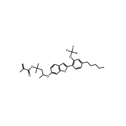 C=C(C)C(=O)OC(C)(C)CC(C)Oc1ccc2cc(-c3ccc(CCCCC)cc3OC(F)(F)F)sc2c1